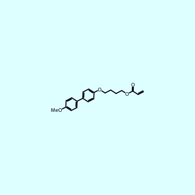 C=CC(=O)OCCCCOc1ccc(-c2ccc(OC)cc2)cc1